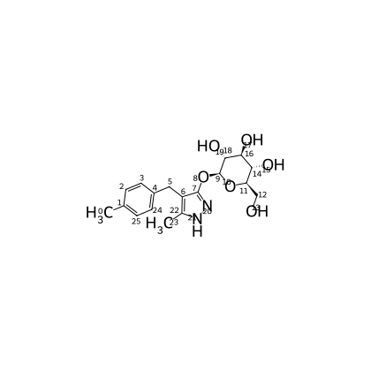 Cc1ccc(Cc2c(O[C@@H]3O[C@H](CO)[C@@H](O)[C@H](O)[C@H]3O)n[nH]c2C)cc1